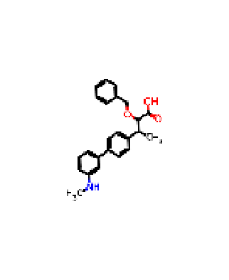 CNc1cccc(-c2ccc(C(C)C(OCc3ccccc3)C(=O)O)cc2)c1